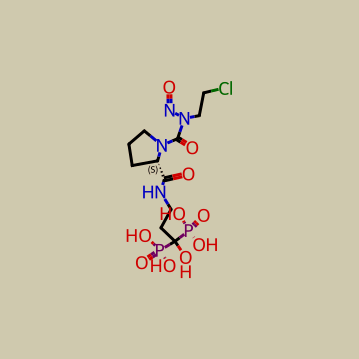 O=NN(CCCl)C(=O)N1CCC[C@H]1C(=O)NCCC(O)(P(=O)(O)O)P(=O)(O)O